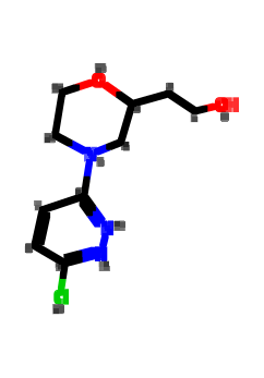 OCCC1CN(c2ccc(Cl)nn2)CCO1